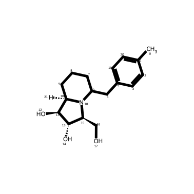 Cc1ccc(CC2CCC[C@@H]3[C@H](O)[C@@H](O)[C@H](CO)N23)cc1